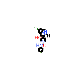 CC1(C2CCN(C(=O)Nc3ccc(F)cc3)CC2)[C@H](O)c2cc(Cl)cc3cnn1c23